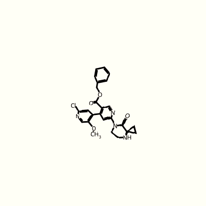 COc1cnc(Cl)cc1-c1cc(N2CCNC3(CC3)C2=O)ncc1C(=O)OCc1ccccc1